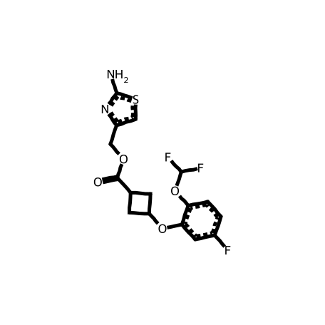 Nc1nc(COC(=O)C2CC(Oc3cc(F)ccc3OC(F)F)C2)cs1